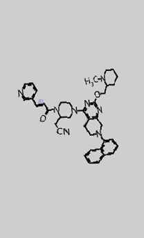 CN1CCCCC1COc1nc2c(c(N3CCN(C(=O)/C=C/c4cccnc4)C(CC#N)C3)n1)CCN(c1cccc3ccccc13)C2